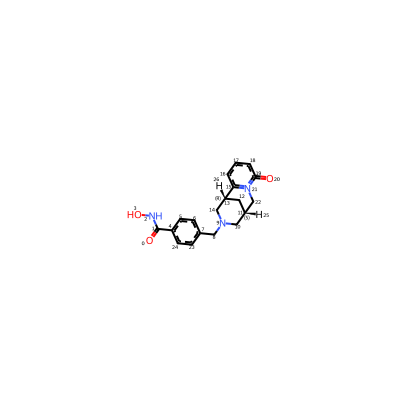 O=C(NO)c1ccc(CN2C[C@@H]3C[C@H](C2)c2cccc(=O)n2C3)cc1